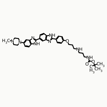 CN1CCN(c2ccc3[nH]c(-c4ccc5[nH]c(-c6ccc(OCCCNCCCNC(=O)OC(C)(C)C)cc6)nc5c4)nc3c2)CC1